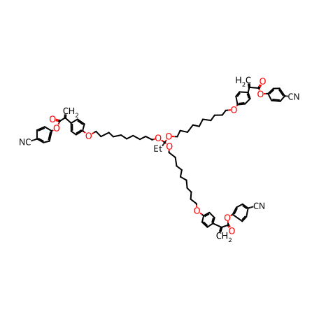 C=C(C(=O)Oc1ccc(C#N)cc1)c1ccc(OCCCCCCCCCCOC(CC)(OCCCCCCCCCCOc2ccc(C(=C)C(=O)Oc3ccc(C#N)cc3)cc2)OCCCCCCCCCCOc2ccc(C(=C)C(=O)Oc3ccc(C#N)cc3)cc2)cc1